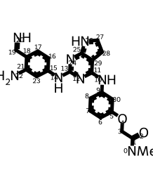 CNC(=O)COc1cccc(Nc2nc(Nc3ccc(C=N)c(N)c3)nc3[nH]ccc23)c1